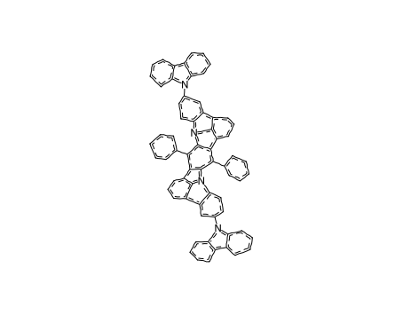 c1ccc(-c2c3c4cccc5c6cc(-n7c8ccccc8c8ccccc87)ccc6n(c3c(-c3ccccc3)c3c6cccc7c8cc(-n9c%10ccccc%10c%10ccccc%109)ccc8n(c23)c76)c54)cc1